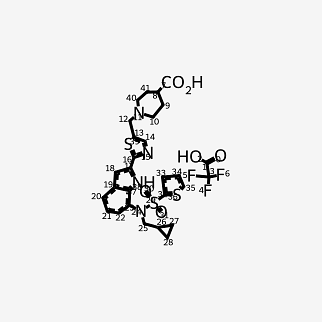 O=C(O)C(F)(F)F.O=C(O)C1CCN(Cc2cnc(-c3cc4cccc(N(CC5CC5)S(=O)(=O)c5cccs5)c4[nH]3)s2)CC1